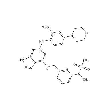 COc1cc(N2CCOCC2)ccc1Nc1nc(NCc2cccc(N(C)S(C)(=O)=O)n2)c2cc[nH]c2n1